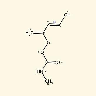 C=C(/C=C/O)COC(=O)NC